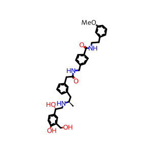 COc1cccc(CCNC(=O)c2ccc(CNC(=O)Cc3cccc(C[C@@H](C)NC[C@@H](O)c4ccc(O)c(CO)c4)c3)cc2)c1